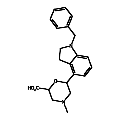 CN1CC(C(=O)O)OC(c2cccc3c2CCN3Cc2ccccc2)C1